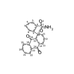 NS(=O)(=O)c1[c]cccc1-c1cccc2c1C(=O)c1ccccc1C2=O